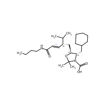 CCCCNC(=O)/C=C/[C@@H](C[C@@H]1OC(C)(C)N(C(=O)O)[C@H]1CC1CCCCC1)C(C)C